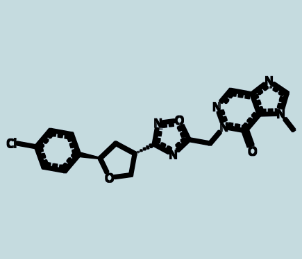 Cn1cnc2cnn(Cc3nc([C@@H]4CO[C@@H](c5ccc(Cl)cc5)C4)no3)c(=O)c21